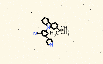 CC(C)(C)c1ccc2c3ccccc3n(-c3cc(C#N)cc(-c4ccncc4)c3)c2c1